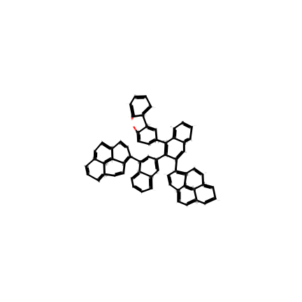 c1ccc2c(-c3ccc4ccc5cccc6ccc3c4c56)cc(-c3c(-c4ccc5ccc6cccc7ccc4c5c67)cc4ccccc4c3-c3ccc4oc5ccccc5c4c3)cc2c1